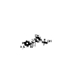 Cc1cc(NCC(F)(F)CO)nc(NC(=O)Nc2ccc(F)c(C(F)(F)F)c2)n1